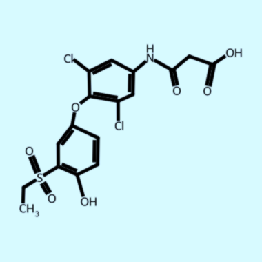 CCS(=O)(=O)c1cc(Oc2c(Cl)cc(NC(=O)CC(=O)O)cc2Cl)ccc1O